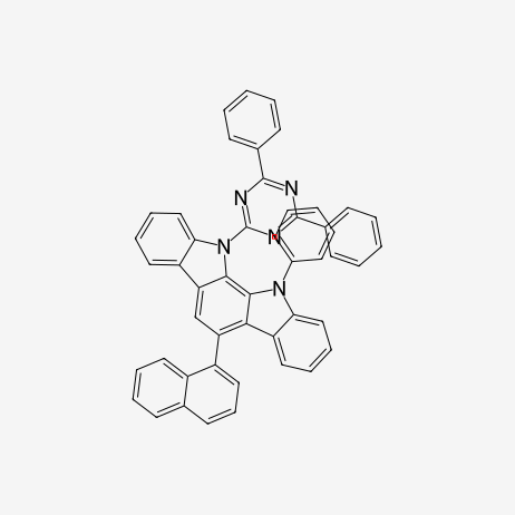 c1ccc(-c2nc(-c3ccccc3)nc(-n3c4ccccc4c4cc(-c5cccc6ccccc56)c5c6ccccc6n(-c6ccccc6)c5c43)n2)cc1